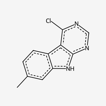 Cc1ccc2c(c1)[nH]c1ncnc(Cl)c12